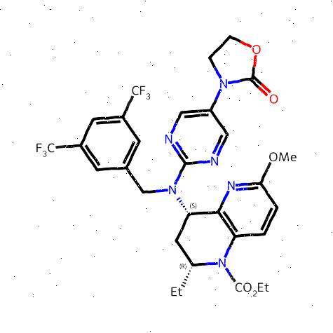 CCOC(=O)N1c2ccc(OC)nc2[C@@H](N(Cc2cc(C(F)(F)F)cc(C(F)(F)F)c2)c2ncc(N3CCOC3=O)cn2)C[C@H]1CC